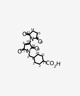 O=C(O)C1CCC(CN2C(=O)C=C(N3C(=O)CCC3=O)C2=O)CC1